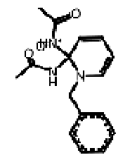 CC(=O)NC1([NH+]([O-])C(C)=O)C=CC=CN1Cc1ccccc1